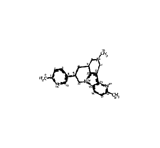 Cc1ccc(C2CC3CN(C)Cc4c3n(c3ccc(C)nc43)C2)cn1